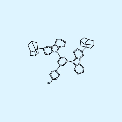 CC(C)(C)c1ccc(-c2cc(-n3c4ccccc4c4cc(C56CC7CC(CC(C7)C5)C6)ccc43)nc(-n3c4ccccc4c4cc(C56CC7CC(CC(C7)C5)C6)ccc43)c2)cc1